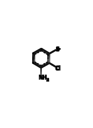 Nc1cccc([S])c1Cl